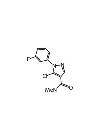 CNC(=O)c1cnn(-c2cccc(F)c2)c1Cl